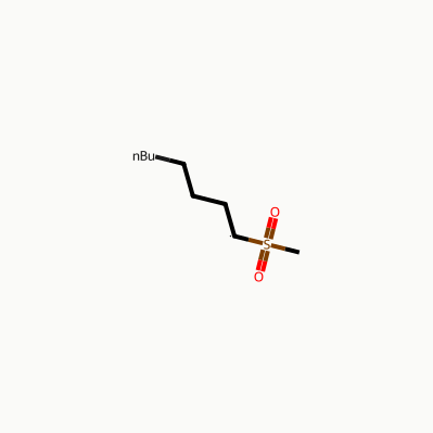 CCCCCCC[CH]S(C)(=O)=O